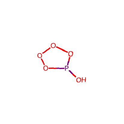 Op1oooo1